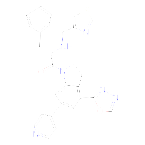 O=C([C@H](Cc1ccccc1)NCc1cscn1)N1CCc2c(-c3nnco3)cc(-c3ccncc3)cc21